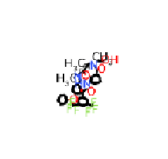 CC(CO)N1C[C@@H](C)[C@@H](CN(C)Cc2ccc(Oc3ccccc3)cc2)Oc2c(NC(=O)Cc3cc(C(F)(F)F)cc(C(F)(F)F)c3)cccc2C1=O